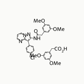 COc1cc(CC(=O)Nc2nn3cccnc3c2-c2ccc(Cl)cc2)cc(OC)c1.COc1cc(CC(=O)O)cc(OC)c1